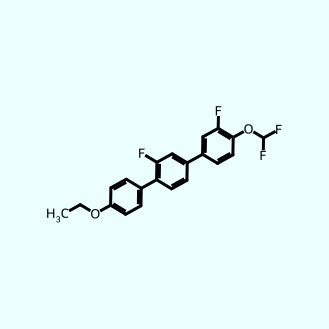 CCOc1ccc(-c2ccc(-c3ccc(OC(F)F)c(F)c3)cc2F)cc1